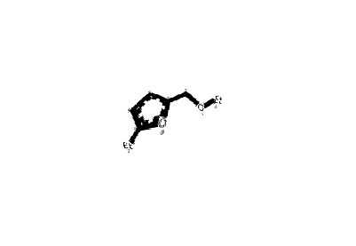 CCOCc1ccc(CC)o1